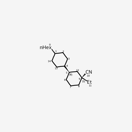 CCCCCCC1CCC([C@@H]2CCC[C@@](C#N)(CC)C2)CC1